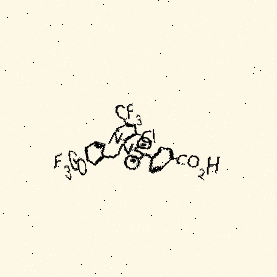 O=C(O)c1ccc(S(=O)(=O)N(Cc2cccc(OC(F)(F)F)c2)c2ncc(C(F)(F)F)cc2Cl)cc1